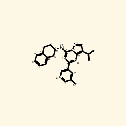 CC(C)c1cnn2c(N[C@H]3CCc4ccccc4C3)nc(-c3cncc(F)c3)nc12